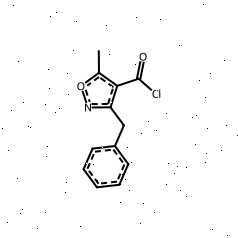 Cc1onc(Cc2ccccc2)c1C(=O)Cl